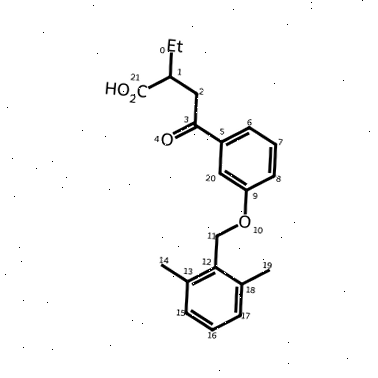 CCC(CC(=O)c1cccc(OCc2c(C)cccc2C)c1)C(=O)O